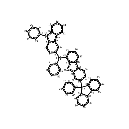 c1ccc(N(c2ccc3c(c2)c2ccccc2n3-c2ccccc2)c2cccc3c2sc2cc(C4(c5ccccc5)c5ccccc5-c5ccccc54)ccc23)cc1